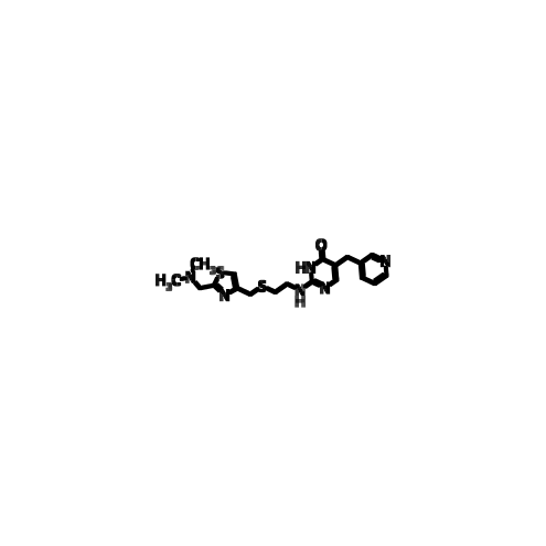 CN(C)Cc1nc(CSCCNc2ncc(Cc3cccnc3)c(=O)[nH]2)cs1